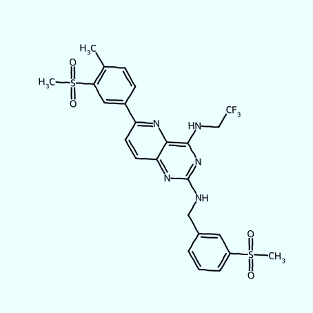 Cc1ccc(-c2ccc3nc(NCc4cccc(S(C)(=O)=O)c4)nc(NCC(F)(F)F)c3n2)cc1S(C)(=O)=O